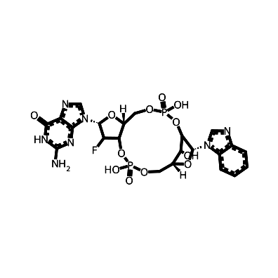 Nc1nc2c(ncn2[C@@H]2O[C@@H]3COP(=O)(O)OC4C(O)[C@@H](COP(=O)(O)OC3C2F)O[C@H]4n2cnc3ccccc32)c(=O)[nH]1